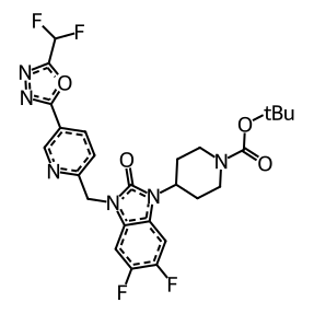 CC(C)(C)OC(=O)N1CCC(n2c(=O)n(Cc3ccc(-c4nnc(C(F)F)o4)cn3)c3cc(F)c(F)cc32)CC1